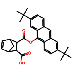 CC(C)(C)c1ccc2c(OC(=O)C3C4C=CC(C4)C3C(=O)O)c3cc(C(C)(C)C)ccc3cc2c1